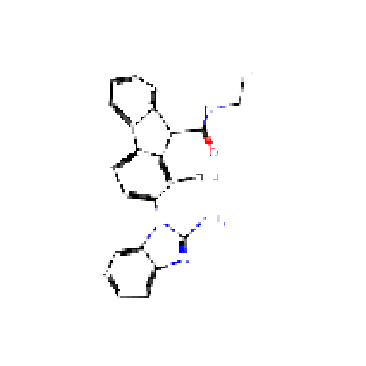 CCCCc1c(-n2c(N)nc3ccccc32)ccc2c1C(C(=O)NCC(F)(F)F)c1ccccc1-2